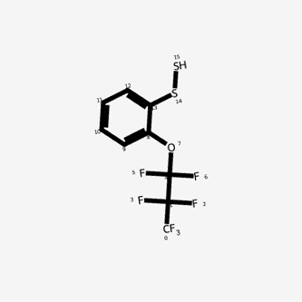 FC(F)(F)C(F)(F)C(F)(F)Oc1ccccc1SS